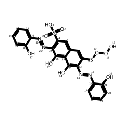 O=S(=O)(O)c1cc2cc(SOOO)c(/N=N/c3ccccc3O)c(O)c2c(O)c1/N=N/c1ccccc1O